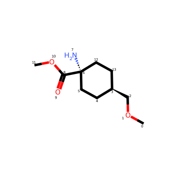 COC[C@H]1CC[C@@](N)(C(=O)OC)CC1